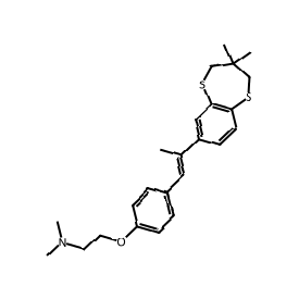 C/C(=C\c1ccc(OCCN(C)C)cc1)c1ccc2c(c1)SCC(C)(C)CS2